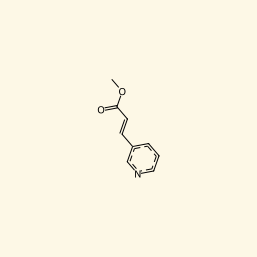 COC(=O)C=Cc1cccnc1